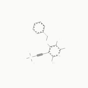 CCOC(=O)c1c(Cl)nc(C)c(C#C[Si](C)(C)C)c1OCc1ccccc1